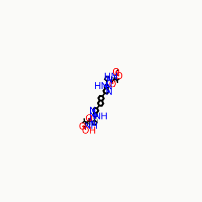 COC(=O)N[C@H](C(=O)N1CCCC1c1nc2ncc(-c3ccc4cc(-c5cnc6nc([C@@H]7CCCN7C(=O)[C@@H](NC(=O)O)C(C)C)[nH]c6c5)ccc4c3)cc2[nH]1)C(C)C